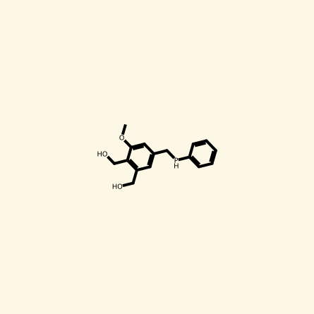 COc1cc(CPc2ccccc2)cc(CO)c1CO